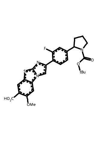 COc1cc2c(cc1C(=O)O)sc1nc(-c3ccc(C4CCCN4C(=O)OC(C)(C)C)cc3F)cn12